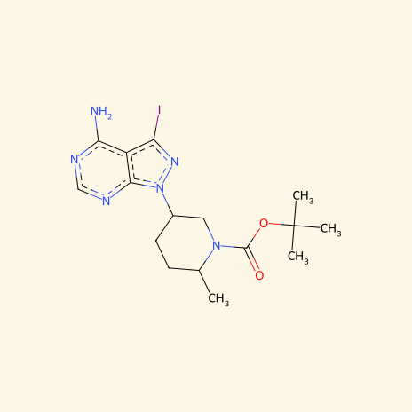 CC1CCC(n2nc(I)c3c(N)ncnc32)CN1C(=O)OC(C)(C)C